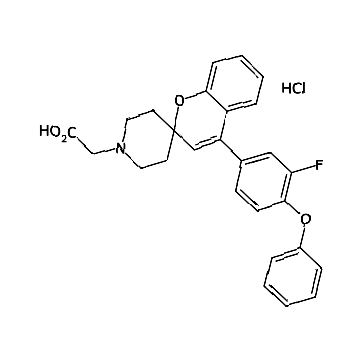 Cl.O=C(O)CN1CCC2(C=C(c3ccc(Oc4ccccc4)c(F)c3)c3ccccc3O2)CC1